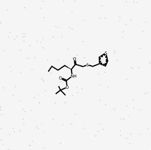 CCCC[C@H](NC(=O)OC(C)(C)C)C(=O)CSCc1ccsc1